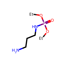 CCOP(=O)(NCCCN)OCC